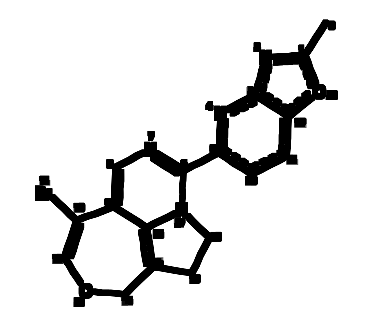 Cc1nc2nc(C3=NC=C4C(Br)=COCC5=C4N3CC5)ccc2o1